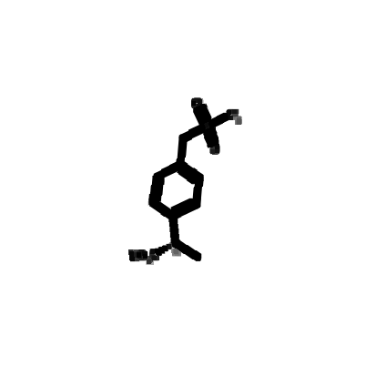 C[C@H](C(=O)O)c1ccc(CS(=O)(=O)C(F)(F)F)cc1